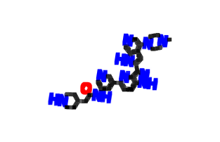 CN1CCN(c2cncc3[nH]c(-c4n[nH]c5ccc(-c6cncc(NC(=O)CC7CCNCC7)c6)nc45)cc23)CC1